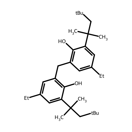 CCc1cc(Cc2cc(CC)cc(C(C)(C)CC(C)(C)C)c2O)c(O)c(C(C)(C)CC(C)(C)C)c1